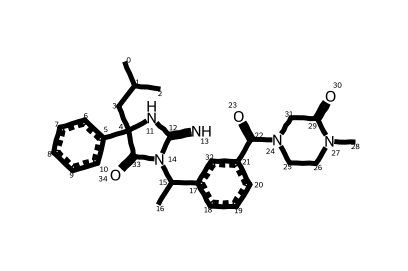 CC(C)CC1(c2ccccc2)NC(=N)N(C(C)c2cccc(C(=O)N3CCN(C)C(=O)C3)c2)C1=O